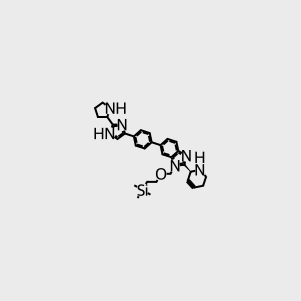 C[Si](C)(C)CCOCn1c([C@@H]2C#CCCN2)nc2ccc(-c3ccc(-c4c[nH]c(C5CCCN5)n4)cc3)cc21